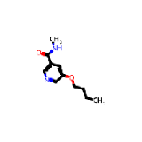 CCCCOc1cncc(C(=O)NC)c1